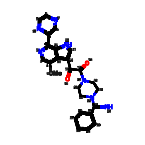 COc1cnc(-c2cnccn2)c2[nH]cc(C(=O)C(=O)N3CCN(C(=N)c4ccccc4)CC3)c12